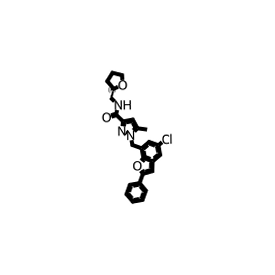 Cc1cc(C(=O)NC[C@H]2CCCO2)nn1Cc1cc(Cl)cc2cc(-c3ccccc3)oc12